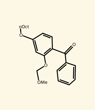 CCCCCCCCOc1ccc(C(=O)c2ccccc2)c(OCOC)c1